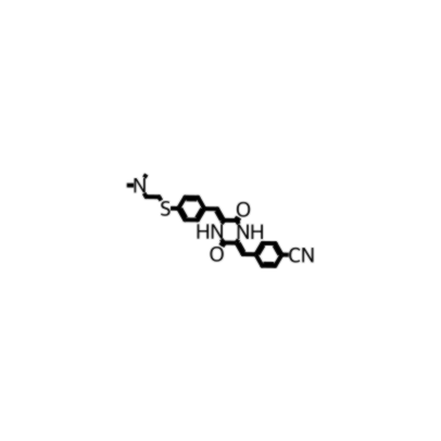 CN(C)CCSc1ccc(/C=c2\[nH]c(=O)/c(=C/c3ccc(C#N)cc3)[nH]c2=O)cc1